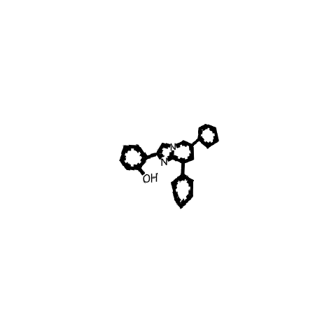 Oc1ccccc1-c1cn2cc(-c3ccccc3)cc(-c3ccccc3)c2n1